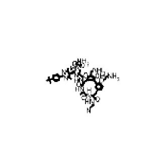 Cc1nc(-c2ccc(C(C)(C)C)cc2)nc(C)c1C(=O)NC(CNS(N)(=O)=O)C(=O)N(C)C1C(=O)NC(C)C(=O)NC(C(=O)NCC#N)Cc2ccc(OCCN)c(c2)-c2cc1cc(CN)c2O